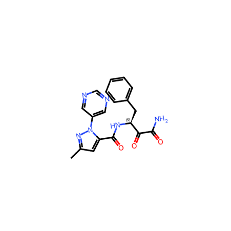 Cc1cc(C(=O)N[C@@H](Cc2ccccc2)C(=O)C(N)=O)n(-c2cncnc2)n1